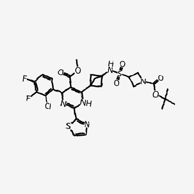 COC(=O)C1=C(C23CC(NS(=O)(=O)C4CN(C(=O)OC(C)(C)C)C4)(C2)C3)NC(c2nccs2)=NC1c1ccc(F)c(F)c1Cl